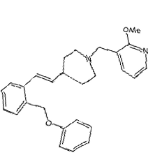 COc1ncccc1CN1CCC(C=Cc2ccccc2COc2ccccc2)CC1